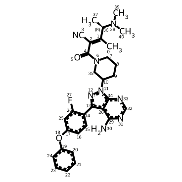 CC(=C(C#N)C(=O)N1CCCC(n2nc(-c3ccc(Oc4ccccc4)cc3F)c3c(N)ncnc32)C1)[C@@H](C)N(C)C